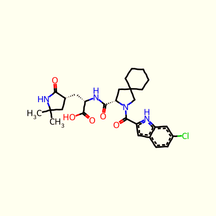 CC1(C)C[C@@H](C[C@H](NC(=O)[C@@H]2CC3(CCCCC3)CN2C(=O)c2cc3ccc(Cl)cc3[nH]2)C(=O)O)C(=O)N1